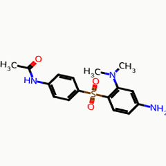 CC(=O)Nc1ccc(S(=O)(=O)c2ccc(N)cc2N(C)C)cc1